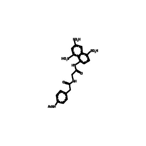 CC(=O)Nc1ccc(CC(=O)NCC(=O)Nc2ccc(S(=O)(=O)O)c3cc(S(=O)(=O)O)cc(S(=O)(=O)O)c23)cc1